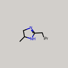 CC(C)CC1=NCC(C)N1